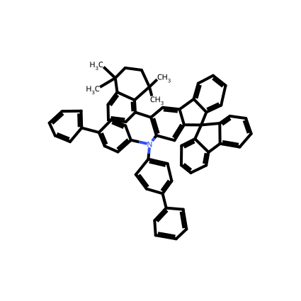 CC1(C)CCC(C)(C)c2c(-c3cc4c(cc3N(c3ccc(-c5ccccc5)cc3)c3ccc(-c5ccccc5)cc3)C3(c5ccccc5-c5ccccc53)c3ccccc3-4)cccc21